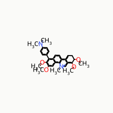 COC1=c2c[n+](C)c3c(ccc4c(-c5ccc(N(C)C)cc5)c(OC)c(OC)cc43)c2=CCC1OC